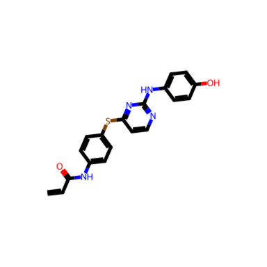 C=CC(=O)Nc1ccc(Sc2ccnc(Nc3ccc(O)cc3)n2)cc1